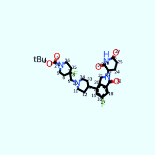 CC(C)(C)OC(=O)N1CCC(F)(CN2CCC(c3cc(F)cc4c3CN(C3CCC(=O)NC3=O)C4=O)CC2)CC1